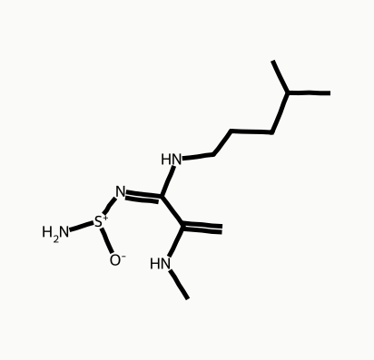 C=C(NC)/C(=N\[S+](N)[O-])NCCCC(C)C